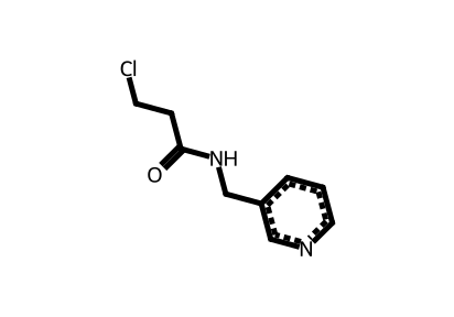 O=C(CCCl)NCc1cccnc1